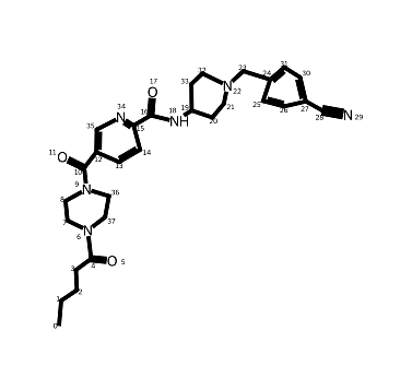 CCCCC(=O)N1CCN(C(=O)c2ccc(C(=O)NC3CCN(Cc4ccc(C#N)cc4)CC3)nc2)CC1